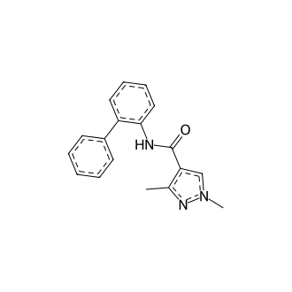 Cc1nn(C)cc1C(=O)Nc1ccccc1-c1ccccc1